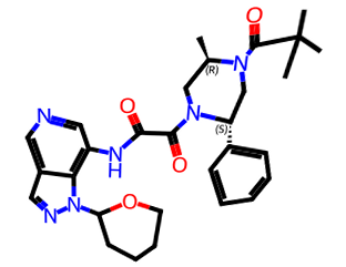 C[C@@H]1CN(C(=O)C(=O)Nc2cncc3cnn(C4CCCCO4)c23)[C@@H](c2ccccc2)CN1C(=O)C(C)(C)C